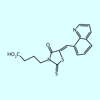 O=C(O)CCCN1C(=O)/C(=C/c2cccc3cccnc23)SC1=S